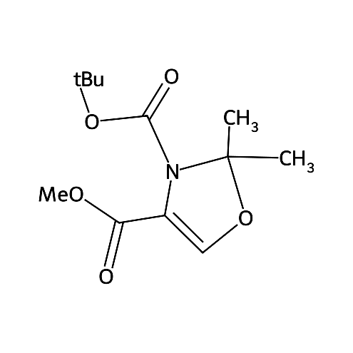 COC(=O)C1=COC(C)(C)N1C(=O)OC(C)(C)C